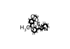 CC(c1ccc2c(c1)OCCO2)N1CCCC(c2cc3ncccc3n2C)C1